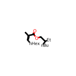 CCCCCCC=C(C)C(=O)OCC(CC)CCCC